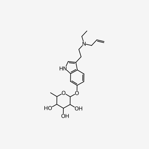 C=CCN(CC)CCc1c[nH]c2cc(OC3OC(C)C(O)C(O)C3O)ccc12